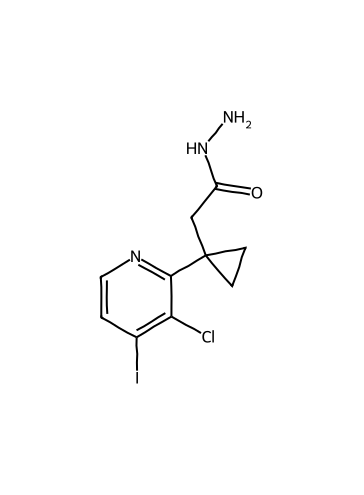 NNC(=O)CC1(c2nccc(I)c2Cl)CC1